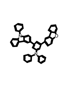 c1ccc(N(c2ccccc2)c2cc(-c3ccc4oc5ccccc5c4c3)cc(-c3ccc4c(c3)c3ccccc3n4-c3ccccc3)c2)cc1